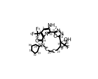 Nc1cc(C(F)(F)F)c2nc1-c1nnc(o1)[C@@](O)(C(F)(F)F)CCCCCN(C1CCCCC1)C2=O